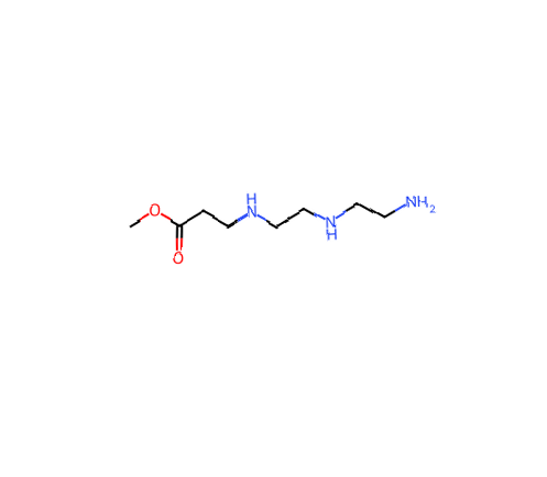 COC(=O)CCNCCNCCN